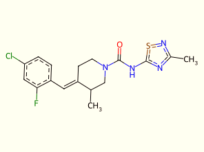 Cc1nsc(NC(=O)N2CC/C(=C\c3ccc(Cl)cc3F)C(C)C2)n1